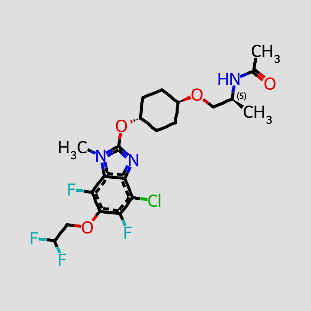 CC(=O)N[C@@H](C)CO[C@H]1CC[C@H](Oc2nc3c(Cl)c(F)c(OCC(F)F)c(F)c3n2C)CC1